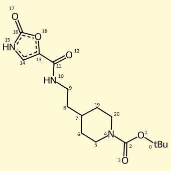 CC(C)(C)OC(=O)N1CCC(CCNC(=O)c2c[nH]c(=O)o2)CC1